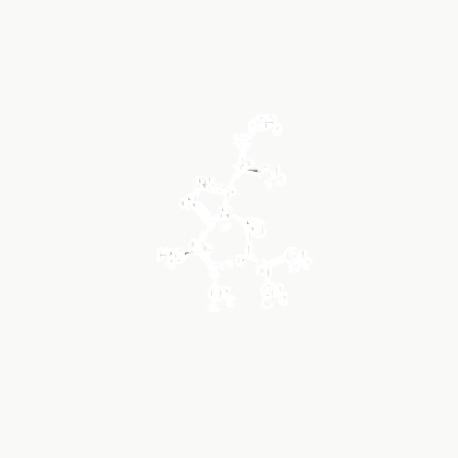 CO[C@@H](C)c1nnc([C@H](C)OC)n1[N+]CC(C)C